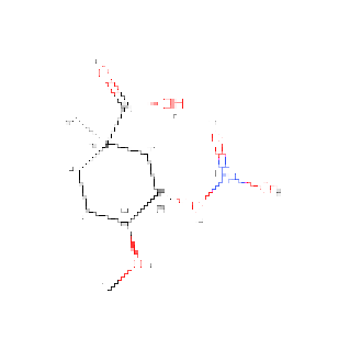 CO[C@H]1CC[C@@](C)(C(=O)O)C[C@@H]1O[N+](=O)[O-]